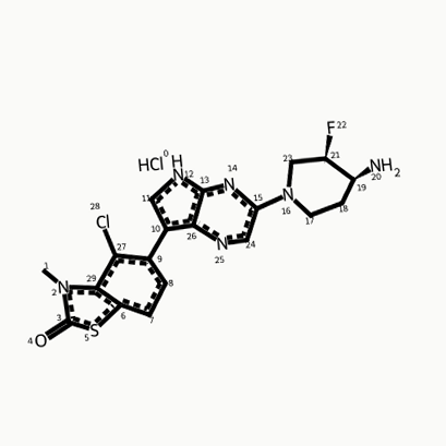 Cl.Cn1c(=O)sc2ccc(-c3c[nH]c4nc(N5CC[C@H](N)[C@H](F)C5)cnc34)c(Cl)c21